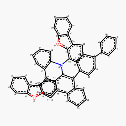 c1ccc(-c2ccc(-c3c(N(c4ccccc4-c4cccc5oc6ccccc6c45)c4cccc5c4oc4ccccc45)c4ccccc4c4ccccc34)cc2)cc1